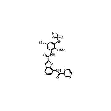 COc1c(NC(=O)c2cc3cccc(NC(=O)c4cnccn4)c3s2)cc(C(C)(C)C)cc1NS(C)(=O)=O